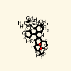 CC1(C)Cc2nc(C3CCOCC3)c([C@@H](O)c3ccc(C(F)(F)F)cn3)c(C3=CCOCC3)c2C(O[Si](C)(C)C(C)(C)C)C1